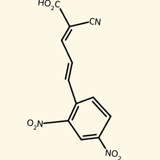 N#C/C(=C\C=C\c1ccc([N+](=O)[O-])cc1[N+](=O)[O-])C(=O)O